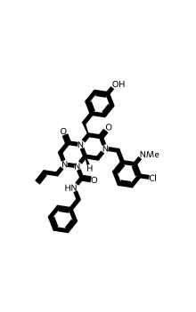 C=CCN1CC(=O)N2[C@@H](Cc3ccc(O)cc3)C(=O)N(Cc3cccc(Cl)c3NC)C[C@@H]2N1C(=O)NCc1ccccc1